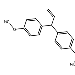 C=CC(c1ccc(OC#N)cc1)c1ccc(OC#N)cc1